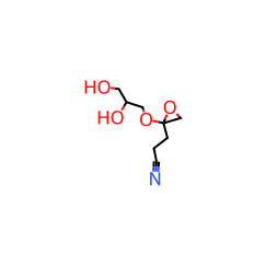 N#CCCC1(OCC(O)CO)CO1